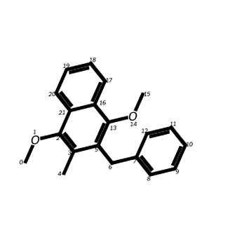 COc1c(C)c(Cc2ccccc2)c(OC)c2ccccc12